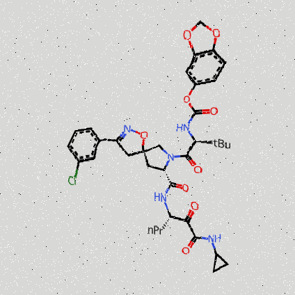 CCC[C@H](NC(=O)[C@@H]1C[C@]2(CC(c3cccc(Cl)c3)=NO2)CN1C(=O)[C@@H](NC(=O)Oc1ccc2c(c1)OCO2)C(C)(C)C)C(=O)C(=O)NC1CC1